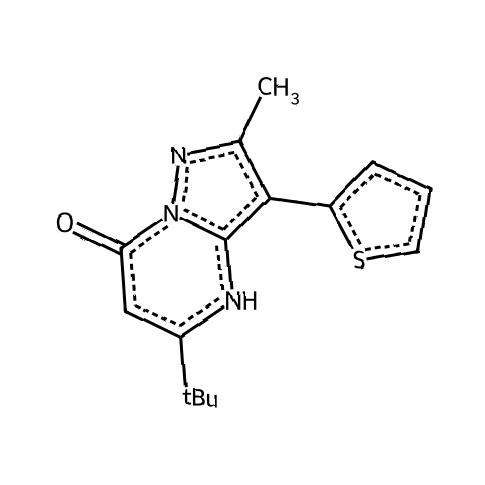 Cc1nn2c(=O)cc(C(C)(C)C)[nH]c2c1-c1cccs1